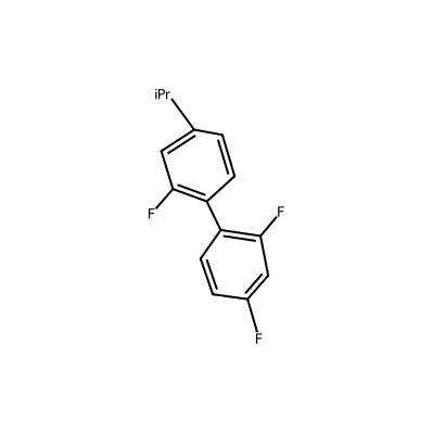 CC(C)c1ccc(-c2ccc(F)cc2F)c(F)c1